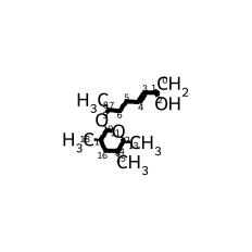 C=C(O)/C=C/CC[C@@H](C)O[C@@H]1O[C@@H](C)[C@H](C)C[C@H]1C